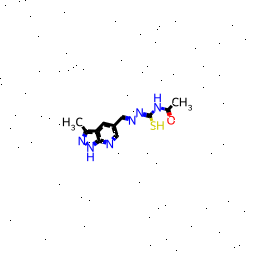 CC(=O)NC(S)=NN=Cc1cnc2[nH]nc(C)c2c1